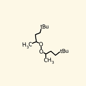 CC(CCC(C)(C)C)OOC(C)CCC(C)(C)C